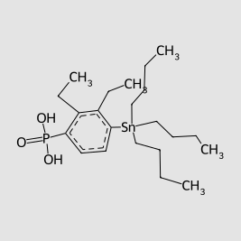 CCC[CH2][Sn]([CH2]CCC)([CH2]CCC)[c]1ccc(P(=O)(O)O)c(CC)c1CC